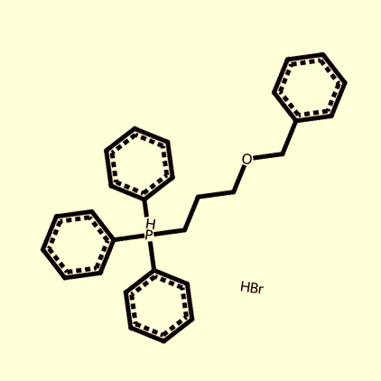 Br.c1ccc(COCCC[PH](c2ccccc2)(c2ccccc2)c2ccccc2)cc1